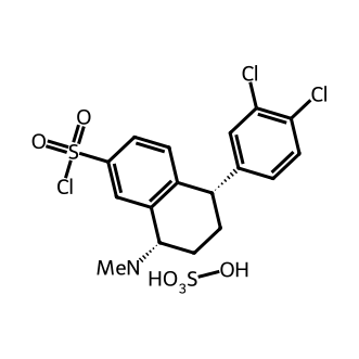 CN[C@H]1CC[C@@H](c2ccc(Cl)c(Cl)c2)c2ccc(S(=O)(=O)Cl)cc21.O=S(=O)(O)O